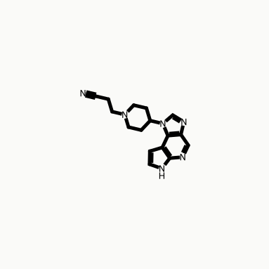 N#CCCN1CCC(n2cnc3cnc4[nH]ccc4c32)CC1